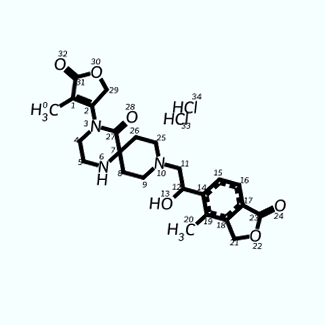 CC1=C(N2CCNC3(CCN(CC(O)c4ccc5c(c4C)COC5=O)CC3)C2=O)COC1=O.Cl.Cl